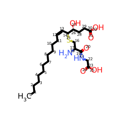 CCCCCCCCCCCC/C=C\[C@H](SCC(N)C(=O)NCC(=O)O)[C@H](O)CCC(=O)O